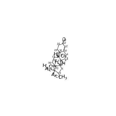 CC(=O)C1(C(C)=O)C(C)C[C@H]2[C@@H]3CCC4=CC(=O)CC[C@]4(C)[C@H]3CC[C@@]21C